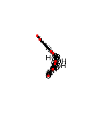 CCCCCCCCCCCCCCCCCCOP(=O)(O)OC[C@H]1O[C@@H](n2ccc(/N=C/N3CCOCC3)nc2=O)C(O)[C@H]1O